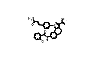 NC(=O)C=Cc1ccc(-n2nc(C(N)=O)c3c2-c2cc(NC(=O)c4ccccc4Cl)ccc2CC3)cc1